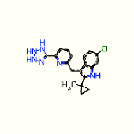 CC1(c2[nH]c3cc(Cl)ccc3c2Cc2cccc(C3=NNNN3)n2)CC1